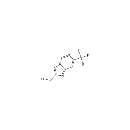 FC(F)(F)c1cc2nc(CCl)cn2cn1